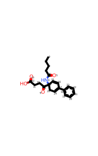 CCCCC(=O)NC1(C(=O)CCC(=O)O)C=CC(c2ccccc2)=CC1